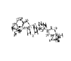 N[C@@H](CNc1nnc(-c2ccc3[nH]ncc3c2)s1)Cc1cccc(C(F)(F)F)c1